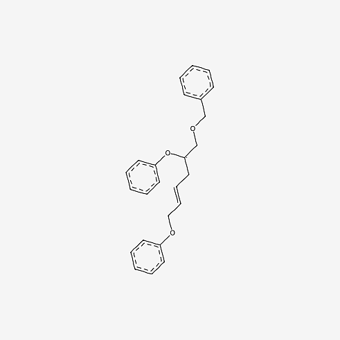 C(=CC[C](COCc1ccccc1)Oc1ccccc1)COc1ccccc1